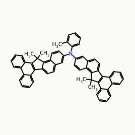 Cc1ccccc1N(c1ccc2c3c(ccc2c1)-c1c(c2ccccc2c2ccccc12)C3(C)C)c1ccc2c3c(ccc2c1)-c1c(c2ccccc2c2ccccc12)C3(C)C